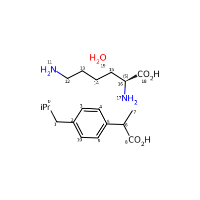 CC(C)Cc1ccc(C(C)C(=O)O)cc1.NCCCC[C@H](N)C(=O)O.O